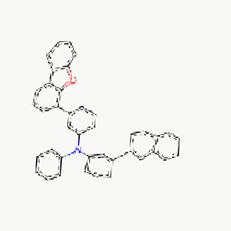 c1ccc(N(c2cccc(-c3ccc4ccccc4c3)c2)c2cccc(-c3cccc4c3oc3ccccc34)c2)cc1